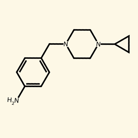 Nc1ccc(CN2CCN(C3CC3)CC2)cc1